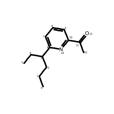 CCCC(CC)c1cccc(C(C)=O)n1